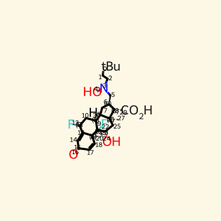 CC(C)(C)CCN(O)C[C@@H]1CC2[C@@H]3C[C@H](F)C4=CC(=O)C=C[C@]4(C)[C@@]3(F)[C@@H](O)C[C@]2(C)[C@H]1C(=O)O